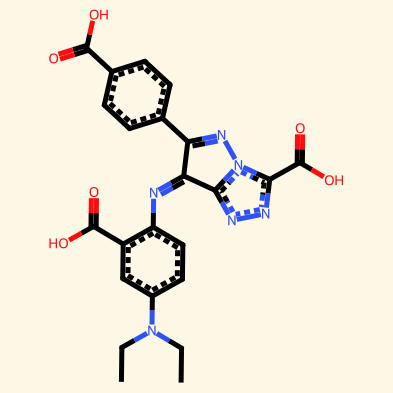 CCN(CC)c1ccc(N=C2C(c3ccc(C(=O)O)cc3)=Nn3c(C(=O)O)nnc32)c(C(=O)O)c1